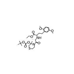 CCOC(=O)C(CCc1cc(OC)ccc1OC)N[C@@H](C)C(=O)N1CCSCC1(C)OC(=O)OC(C)(C)C